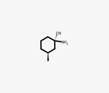 C[C@H]1CCC[C@](N)(C#N)C1